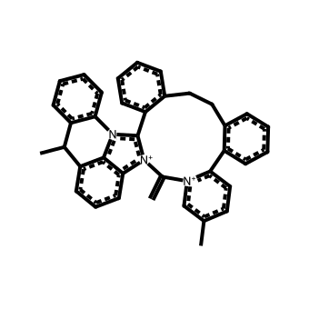 C=C1[n+]2cc(C)ccc2-c2ccccc2CCc2ccccc2-c2n3c4c(cccc4[n+]21)C(C)c1ccccc1-3